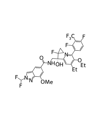 CCOc1c(CC)cc([C@@](O)(CNC(=O)c2cc(OC)c3nn(C(F)F)cc3c2)C2(F)CC2)nc1-c1ccc(F)c(C(F)(F)F)c1F